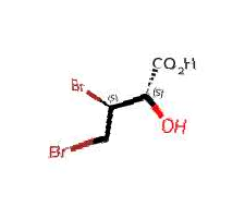 O=C(O)[C@H](O)[C@H](Br)CBr